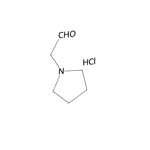 Cl.O=CCN1CCCC1